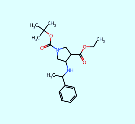 CCOC(=O)C1CN(C(=O)OC(C)(C)C)CC1NC(C)c1ccccc1